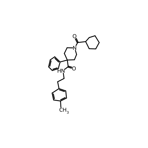 Cc1ccc(CCNC(=O)C2(c3ccccc3)CCN(C(=O)C3CCCCC3)CC2)cc1